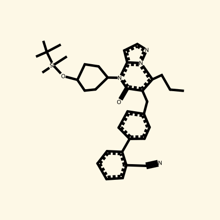 CCCc1c(Cc2ccc(-c3ccccc3C#N)cc2)c(=O)n(C2CCC(O[Si](C)(C)C(C)(C)C)CC2)c2ccnn12